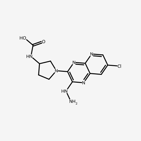 NNc1nc2cc(Cl)cnc2nc1N1CCC(NC(=O)O)C1